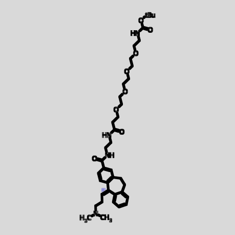 CN(C)CC/C=C1\c2ccccc2CCc2cc(C(=O)NCCNC(=O)CCOCCOCCOCCOCCNC(=O)OC(C)(C)C)ccc21